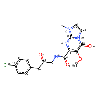 CCCCOc1c(C(=O)NCC(=O)Cc2ccc(Cl)cc2)nc2n(C)ccn2c1=O